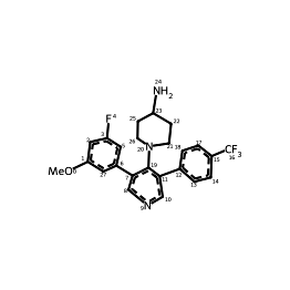 COc1cc(F)cc(-c2cncc(-c3ccc(C(F)(F)F)cc3)c2N2CCC(N)CC2)c1